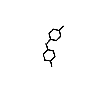 CC1CCC(SC2CCC(C)CC2)CC1